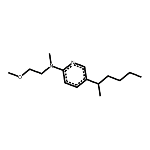 CCCCC(C)c1ccc(N(C)CCOC)nc1